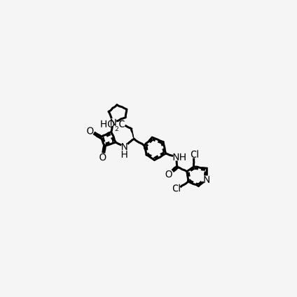 O=C(O)C[C@H](Nc1c(N2CCCC2)c(=O)c1=O)c1ccc(NC(=O)c2c(Cl)cncc2Cl)cc1